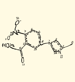 Cc1cn(-c2ccc([N+](=O)[O-])c(C(=O)O)c2)cn1